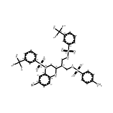 Cc1ccc(S(=O)(=O)OC[C@H](COS(=O)(=O)c2cccc(C(F)(F)F)c2)C2CN(S(=O)(=O)c3cccc(C(F)(F)F)c3)c3cc(Br)ccc3O2)cc1